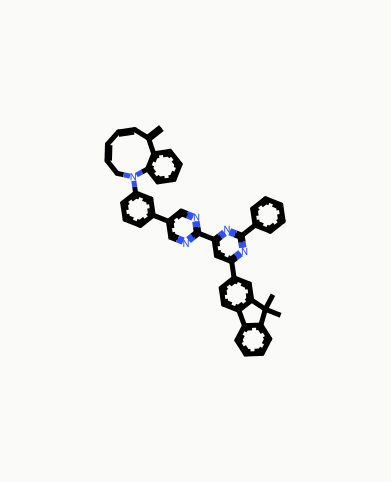 C=C1/C=C\C=C/CN(c2cccc(-c3cnc(-c4cc(-c5ccc6c(c5)C(C)(C)c5ccccc5-6)nc(-c5ccccc5)n4)nc3)c2)c2ccccc21